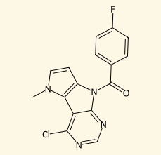 Cn1ccc2c1c1c(Cl)ncnc1n2C(=O)c1ccc(F)cc1